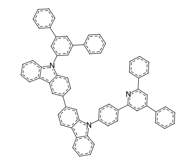 c1ccc(-c2cc(-c3ccccc3)cc(-n3c4ccccc4c4cc(-c5ccc6c7ccccc7n(-c7ccc(-c8cc(-c9ccccc9)cc(-c9ccccc9)n8)cc7)c6c5)ccc43)c2)cc1